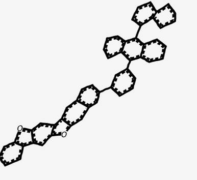 c1cc(-c2ccc3cc4c(cc3c2)oc2cc3c(cc24)oc2ccccc23)cc(-c2c3ccccc3c(-c3cccc4ccccc34)c3ccccc23)c1